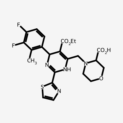 CCOC(=O)C1=C(CN2CCOCC2C(=O)O)NC(c2nccs2)=NC1c1ccc(F)c(F)c1C